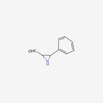 O=CC1NC1c1ccccc1